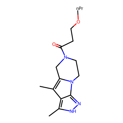 CCCOCCC(=O)N1CCn2c(c(C)c3c(C)[nH]nc32)C1